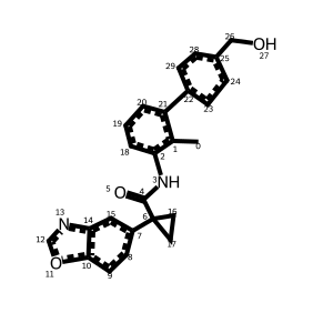 Cc1c(NC(=O)C2(c3ccc4ocnc4c3)CC2)cccc1-c1ccc(CO)cc1